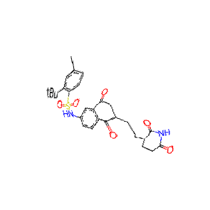 Cc1ccc(S(=O)(=O)Nc2ccc3c(c2)C(=O)CC(CCC2CCC(=O)NC2=O)C3=O)c(C(C)(C)C)c1